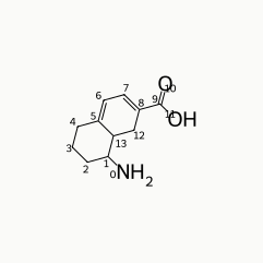 NC1CCCC2=CC=C(C(=O)O)CC21